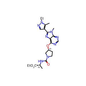 CCOC(=O)[C@H](C)NC(=O)N1CC[C@H](Oc2ncnc3c2nc(-c2cnn(CC)c2C)n3C)C1